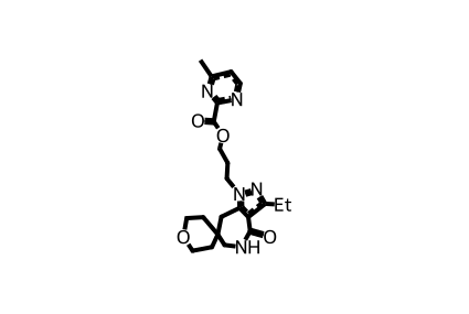 CCc1nn(CCCOC(=O)c2nccc(C)n2)c2c1C(=O)NCC1(CCOCC1)C2